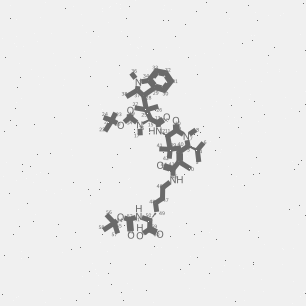 C/C(=C\[C@H](C(C)C)N(C)C(=O)[C@@H](NC(=O)[C@@H](N(C)C(=O)OC(C)(C)C)C(C)(C)C1c2ccccc2N(C)C1C)C(C)(C)C)C(=O)NCCCC[C@@H](NC(=O)OC(C)(C)C)C(=O)O